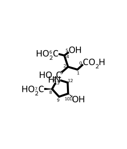 O=C(O)CC(C(=O)O)C(O)C(=O)O.O=C(O)[C@@H]1C[C@@H](O)CN1